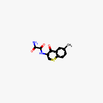 Cc1ccc2scc(NC(=O)C(N)=O)c(=O)c2c1